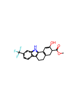 COC(=O)C1CC2=C(C=C1O)c1[nH]c3cc(C(F)(F)F)ccc3c1CC2